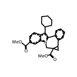 COC(=O)c1ccc2c(C3CCCCC3)c3n(c2c1)CC1(C(=O)OC)CC1c1ccccc1-3